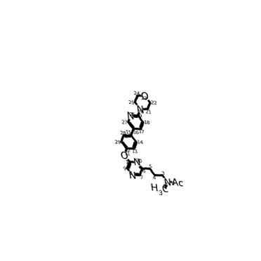 CC(=O)N(C)CCCc1cncc(Oc2ccc(-c3ccc(N4CCOCC4)nc3)cc2)n1